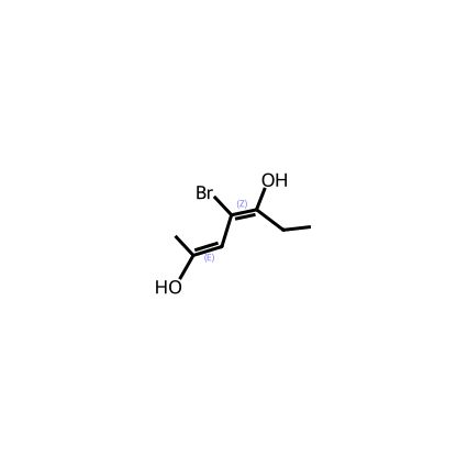 CC/C(O)=C(Br)\C=C(/C)O